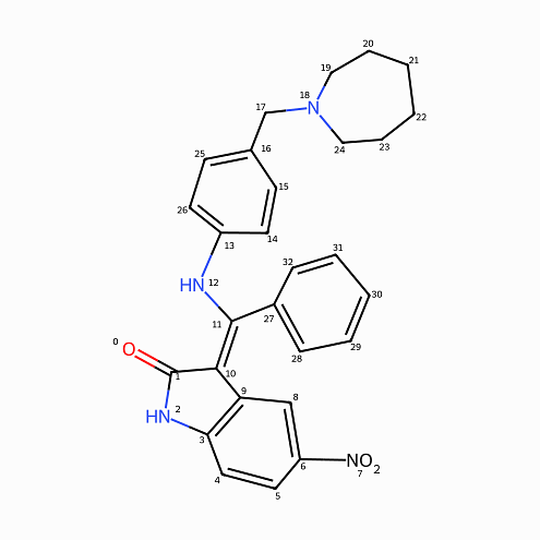 O=C1Nc2ccc([N+](=O)[O-])cc2/C1=C(/Nc1ccc(CN2CCCCCC2)cc1)c1ccccc1